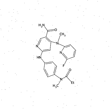 CCC(=O)N(C)c1ccc(Nc2cc(N(C)c3cccc(F)n3)c(C(N)=O)cn2)cc1